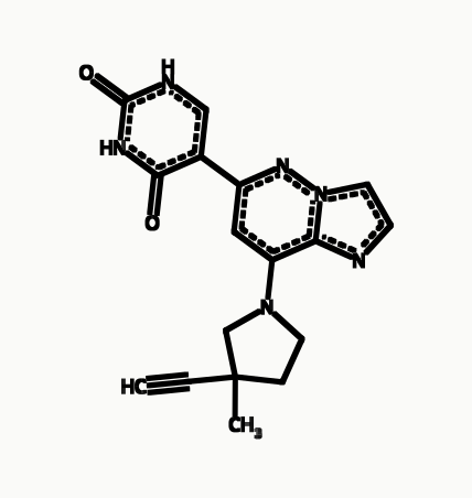 C#CC1(C)CCN(c2cc(-c3c[nH]c(=O)[nH]c3=O)nn3ccnc23)C1